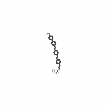 CCCCc1ccc(CCC2CCC(CCc3ccc(-c4ccc(Cl)cc4)cc3)CC2)cc1